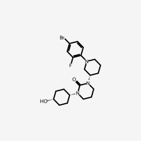 O=C1N([C@H]2CCCN(c3ccc(Br)cc3F)C2)CCCN1[C@H]1CC[C@@H](O)CC1